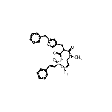 C=CCN(C)C(=O)C(Cc1cnn(Cc2ccccc2)c1)C(=O)NS(=O)(=O)C=Cc1ccccc1